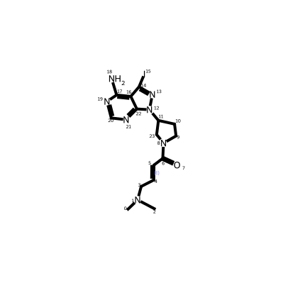 CN(C)C/C=C/C(=O)N1CCC(n2nc(I)c3c(N)ncnc32)C1